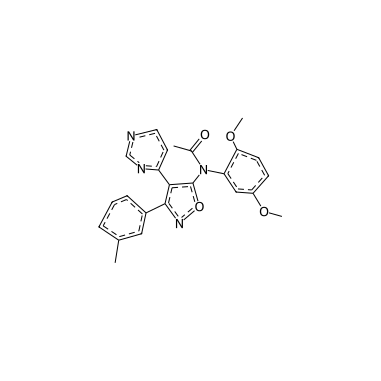 COc1ccc(OC)c(N(C(C)=O)c2onc(-c3cccc(C)c3)c2-c2ccncn2)c1